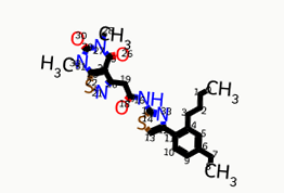 CCCCc1cc(CC)ccc1-c1csc(NC(=O)Cc2nsc3c2c(=O)n(C)c(=O)n3C)n1